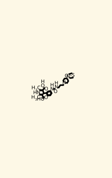 CC1=C(C(=O)O)C(c2cccc(NC(=O)NCCCN3CCC([N+]4([O-])CCSCC4)CC3)c2)C(C(=O)O)=C(C)N1